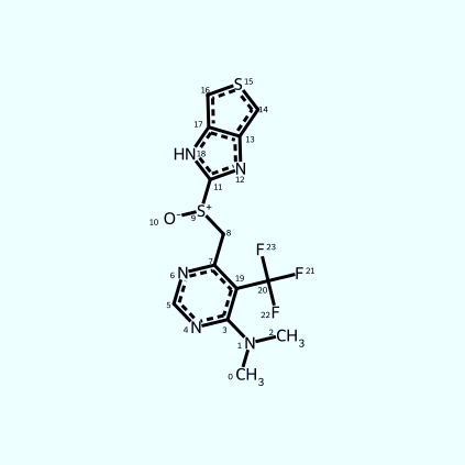 CN(C)c1ncnc(C[S+]([O-])c2nc3cscc3[nH]2)c1C(F)(F)F